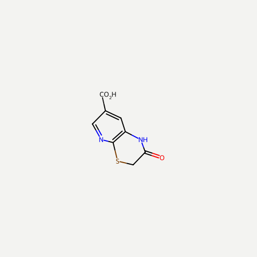 O=C1CSc2ncc(C(=O)O)cc2N1